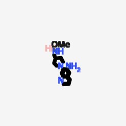 COBNCC1CCN(c2cc3ncccc3cc2N)CC1